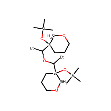 CCC(OC(CC)[Si]1(O[Si](C)(C)C)CCCO[SiH2]1)[Si]1(O[Si](C)(C)C)CCCO[SiH2]1